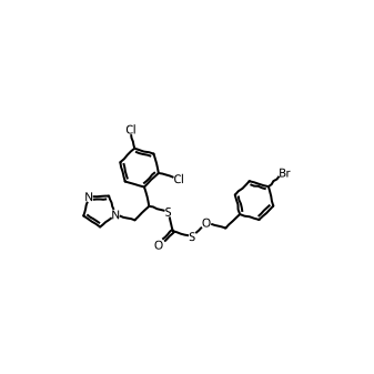 O=C(SOCc1ccc(Br)cc1)SC(Cn1ccnc1)c1ccc(Cl)cc1Cl